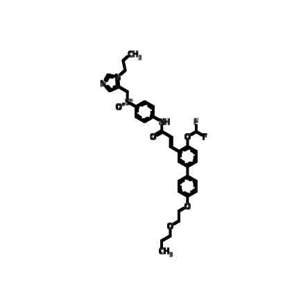 CCCOCCOc1ccc(-c2ccc(OC(F)F)c(/C=C/C(=O)Nc3ccc([S@+]([O-])Cc4cncn4CCC)cc3)c2)cc1